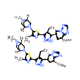 COc1cc(-c2[nH]nc(-c3nc(C)c(N4C[C@@H]5C[C@H]4CN5C)s3)c2CC(F)(F)F)cn2ncnc12.COc1cc(-c2[nH]nc(-c3nc(C)c(N4C[C@@H]5C[C@H]4CN5C)s3)c2CC(F)(F)F)cn2ncnc12